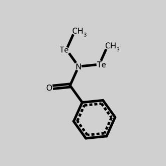 C[Te]N([Te]C)C(=O)c1ccccc1